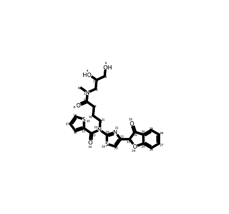 CN(CC(O)CO)C(=O)CCCN(C(=O)c1cccs1)c1nc(C2Oc3ccccc3C2=O)cs1